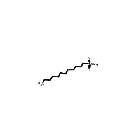 CCCCCCCCCCCCS(N)(=O)=O